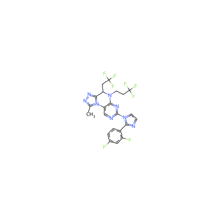 Cc1nnc2n1-c1cnc(-n3ccnc3-c3ccc(F)cc3F)nc1N(CCC(F)(F)F)C2CC(F)(F)F